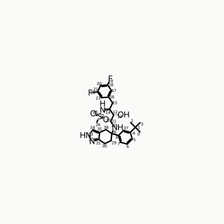 CC(C)(C)c1cccc(C2(NC[C@@H](O)C(Cc3cc(F)cc(F)c3)NS(C)(=O)=O)CCc3n[nH]cc3C2)c1